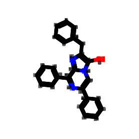 Oc1c(Cc2ccccc2)nc2c(-c3ccccc3)nc(-c3ccccc3)cn12